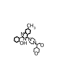 Cc1ccc2c(N3CCN(C(C=O)C4CCOCC4)CC3)nc(-c3ccccc3O)nc2c1